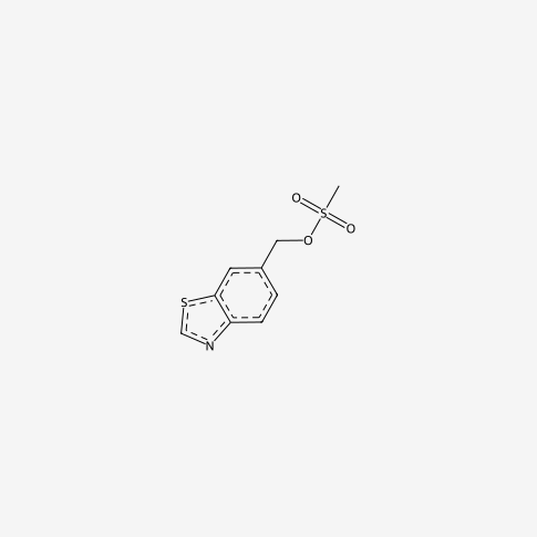 CS(=O)(=O)OCc1ccc2ncsc2c1